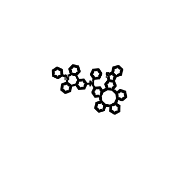 c1ccc(N(c2ccc3c(c2)-c2ccccc2N(c2ccccc2)c2ccccc2-3)c2ccc3c4ccccc4c4ccccc4c4ccccc4c4cc5c(cc4c3c2)sc2ccccc25)cc1